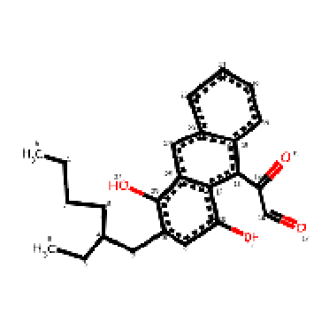 CCCCC(CC)Cc1cc(O)c2c(C(=O)C=O)c3ccccc3cc2c1O